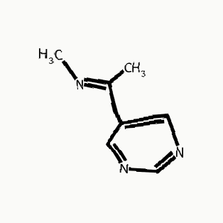 CN=C(C)c1cncnc1